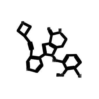 COc1c(Cl)cccc1Nn1c(-c2ccncc2C#CC2COC2)cc2c1CCNC2=O